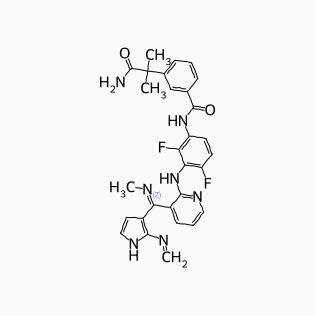 C=Nc1[nH]ccc1/C(=N\C)c1cccnc1Nc1c(F)ccc(NC(=O)c2cccc(C(C)(C)C(N)=O)c2)c1F